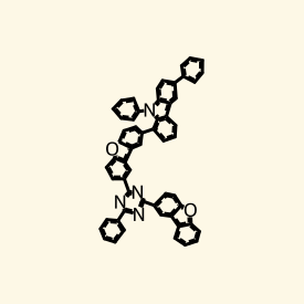 c1ccc(-c2ccc3c(c2)c2cccc(-c4ccc5oc6ccc(-c7nc(-c8ccccc8)nc(-c8ccc9oc%10ccccc%10c9c8)n7)cc6c5c4)c2n3-c2ccccc2)cc1